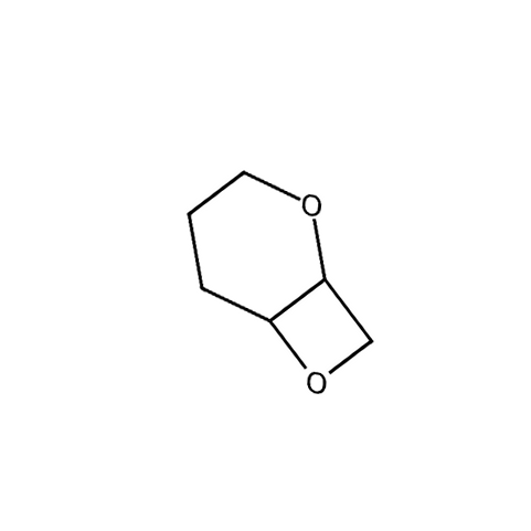 C1COC2COC2C1